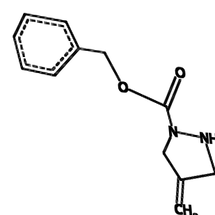 C=C1CNN(C(=O)OCc2ccccc2)C1